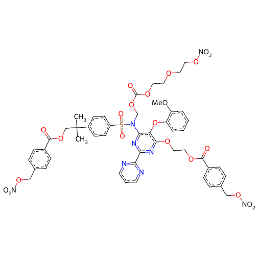 COc1ccccc1Oc1c(OCCOC(=O)c2ccc(CO[N+](=O)[O-])cc2)nc(-c2ncccn2)nc1N(COC(=O)OCCOCCO[N+](=O)[O-])S(=O)(=O)c1ccc(C(C)(C)COC(=O)c2ccc(CO[N+](=O)[O-])cc2)cc1